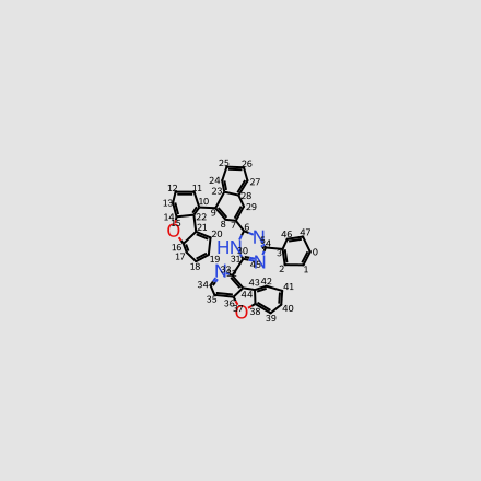 c1ccc(C2=NC(c3cc(-c4cccc5oc6ccccc6c45)c4ccccc4c3)NC(c3nccc4oc5ccccc5c34)=N2)cc1